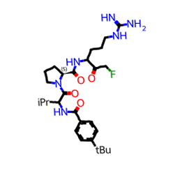 CC(C)C(NC(=O)c1ccc(C(C)(C)C)cc1)C(=O)N1CCC[C@H]1C(=O)NC(CCCNC(=N)N)C(=O)CF